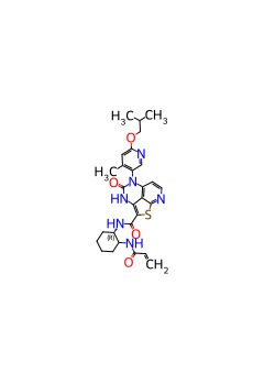 C=CC(=O)NC1CCCC[C@H]1NC(=O)c1sc2nccc3c2c1NC(=O)N3c1cnc(OCC(C)C)cc1C